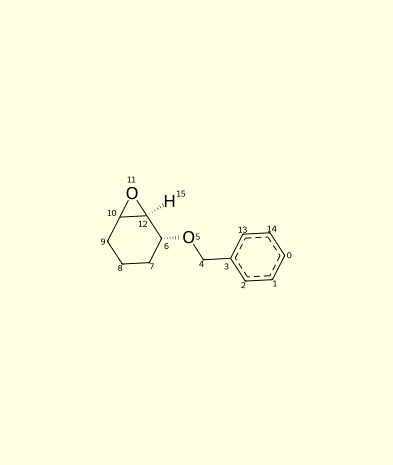 c1ccc(CO[C@@H]2CCCC3O[C@H]32)cc1